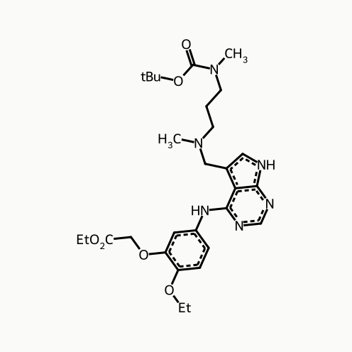 CCOC(=O)COc1cc(Nc2ncnc3[nH]cc(CN(C)CCCN(C)C(=O)OC(C)(C)C)c23)ccc1OCC